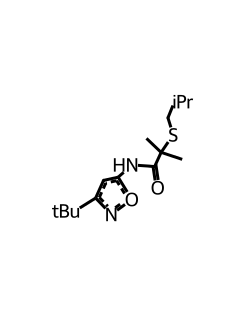 CC(C)CSC(C)(C)C(=O)Nc1cc(C(C)(C)C)no1